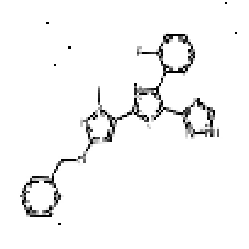 Cn1nc(OCc2ccccc2)cc1-c1nc(-c2ccccc2F)c(-c2nc[nH]n2)s1